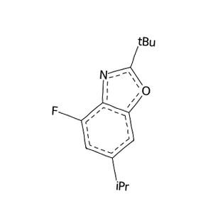 CC(C)c1cc(F)c2nc(C(C)(C)C)oc2c1